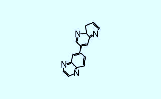 C1=CN=C2C=C(c3ccc4nccnc4c3)C=NC2C1